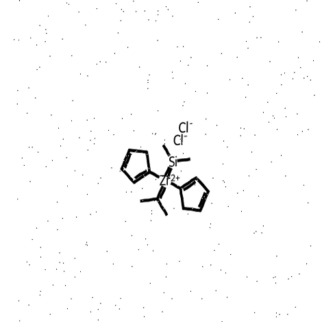 C[C](C)=[Zr+2]([C]1=CC=CC1)([C]1=CC=CC1)=[Si](C)C.[Cl-].[Cl-]